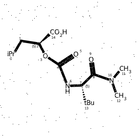 CC(C)C[C@H](OC(=O)N[C@H](C(=O)N(C)C)C(C)(C)C)C(=O)O